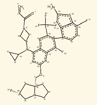 C=CC(=O)N1CC(N(c2nc(OC[C@]34CCCN3C[C@H](F)C4)nc3c(F)c(-c4ccc(F)c5sc(N)nc45)c(C(F)(F)F)cc23)C2CC2)C1